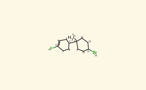 CC1(C2CC=C(F)CC2)CCC(Br)CC1